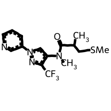 CSCC(C)C(=O)N(C)c1cn(-c2cccnc2)nc1C(F)(F)F